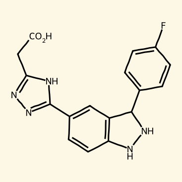 O=C(O)Cc1nnc(-c2ccc3c(c2)C(c2ccc(F)cc2)NN3)[nH]1